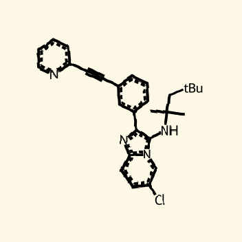 CC(C)(C)CC(C)(C)Nc1c(-c2cccc(C#Cc3ccccn3)c2)nc2ccc(Cl)cn12